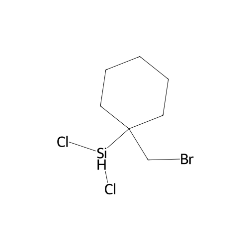 Cl[SiH](Cl)C1(CBr)CCCCC1